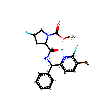 CC(C)(C)OC(=O)N1CC(F)CC1C(=O)NC(c1ccccc1)c1ccc(Br)c(F)n1